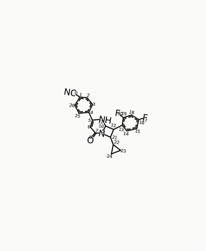 N#Cc1ccc(C2=CC(=O)N3C(N2)C(c2ccc(F)cc2F)C3C2CC2)cc1